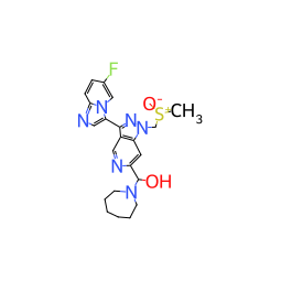 C[S+]([O-])Cn1nc(-c2cnc3ccc(F)cn23)c2cnc(C(O)N3CCCCCC3)cc21